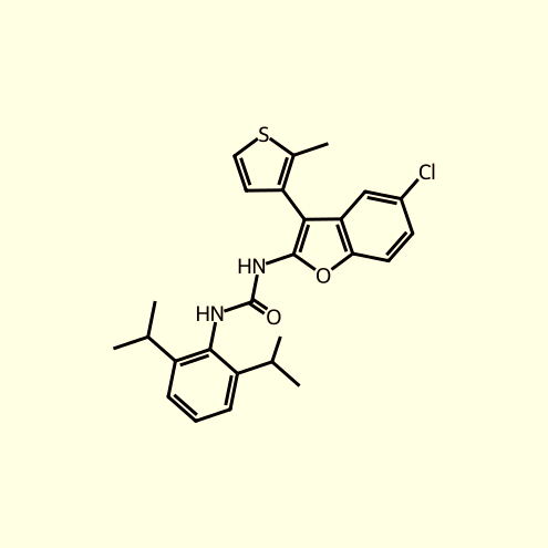 Cc1sccc1-c1c(NC(=O)Nc2c(C(C)C)cccc2C(C)C)oc2ccc(Cl)cc12